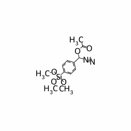 CO[Si](OC)(OC)c1ccc(C([N+]#N)OC(C)=O)cc1